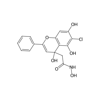 O=C(CC1(O)C=C(c2ccccc2)Oc2cc(O)c(Cl)c(O)c21)NO